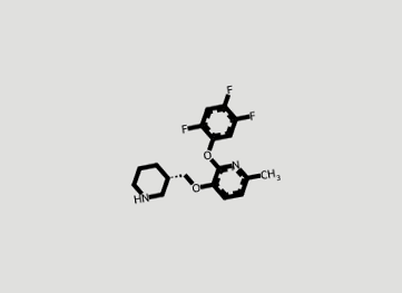 Cc1ccc(OC[C@H]2CCCNC2)c(Oc2cc(F)c(F)cc2F)n1